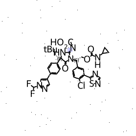 CC(C)(C)C[C@]1(c2ccc(-c3cnn(C(F)F)c3)cc2)N/C(=N\C(=O)O)N([C@H](COC(=O)NC2CC2)c2ccc(Cl)c(-c3ncns3)c2)C1=O